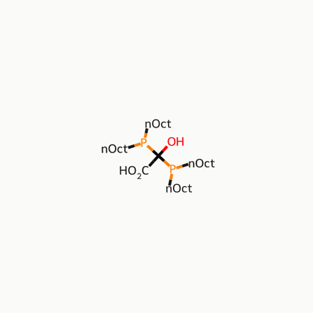 CCCCCCCCP(CCCCCCCC)C(O)(C(=O)O)P(CCCCCCCC)CCCCCCCC